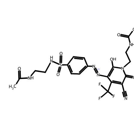 CC(=O)NCCNS(=O)(=O)c1ccc(/N=N/c2c(C(F)(F)F)c(C#N)c(=O)n(CCNC(C)=O)c2O)cc1